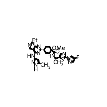 CCn1ncc2c(Nc3cc(C)[nH]n3)nc([C@H]3CC[C@](OC)(C(=O)N[C@@H](C)c4cnc(-n5cc(F)cn5)s4)CC3)nc21